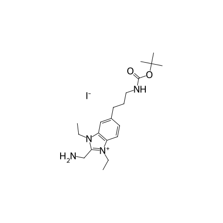 CCn1c(CN)[n+](CC)c2ccc(CCCNC(=O)OC(C)(C)C)cc21.[I-]